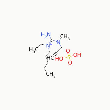 C#CCN(C)C(N)=[N+](CC)CCCCC.O=S(=O)(O)O